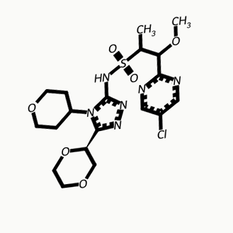 COC(c1ncc(Cl)cn1)C(C)S(=O)(=O)Nc1nnc([C@H]2COCCO2)n1C1CCOCC1